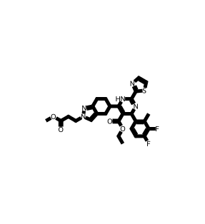 CCOC(=O)C1=C(C2CCc3nn(CCC(=O)OC)cc3C2)NC(c2nccs2)=NC1c1ccc(F)c(F)c1C